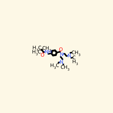 CCN(CC)CCN(CCN(CC)CC)C(=O)c1ccc(CNC(=O)C(C)(C)C)cc1